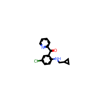 O=C(c1ccccn1)c1cc(Cl)ccc1NCC1CC1